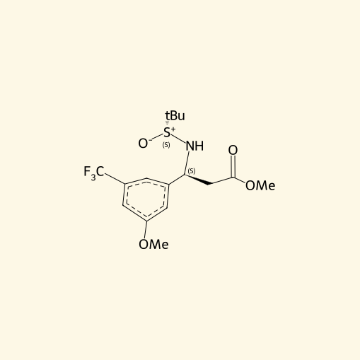 COC(=O)C[C@H](N[S@+]([O-])C(C)(C)C)c1cc(OC)cc(C(F)(F)F)c1